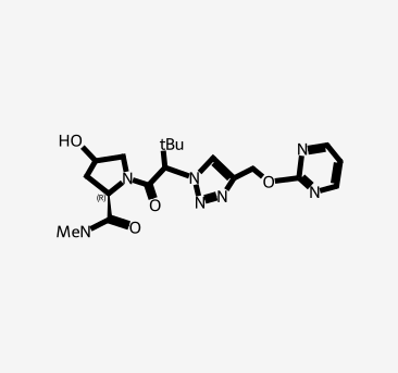 CNC(=O)[C@H]1CC(O)CN1C(=O)C(n1cc(COc2ncccn2)nn1)C(C)(C)C